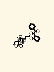 N[C@]1(NC(=O)CCC(=O)OC(C(=O)c2ccccc2)c2ccccc2)CCOC1=O